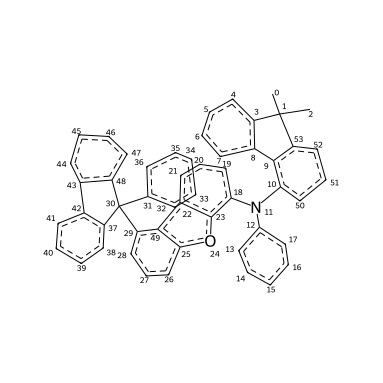 CC1(C)c2ccccc2-c2c(N(c3ccccc3)c3cccc4c3oc3cccc(C5(c6ccccc6)c6ccccc6-c6ccccc65)c34)cccc21